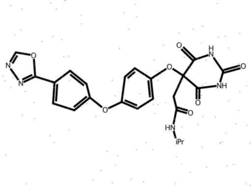 CC(C)NC(=O)CC1(Oc2ccc(Oc3ccc(-c4nnco4)cc3)cc2)C(=O)NC(=O)NC1=O